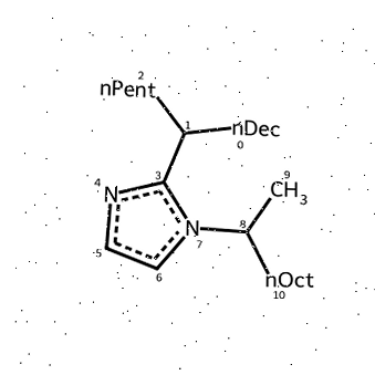 CCCCCCCCCCC(CCCCC)c1nccn1C(C)CCCCCCCC